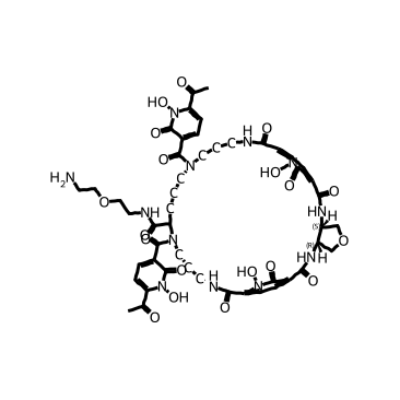 CC(=O)c1ccc(C(=O)N2CCCNC(=O)c3ccc(c(=O)n3O)C(=O)N[C@@H]3COC[C@@H]3NC(=O)c3ccc(n(O)c3=O)C(=O)NCCCN(C(=O)c3ccc(C(C)=O)n(O)c3=O)C(C(=O)NCCOCCN)CCC2)c(=O)n1O